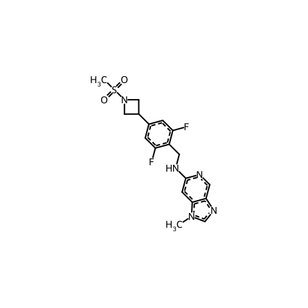 Cn1cnc2cnc(NCc3c(F)cc(C4CN(S(C)(=O)=O)C4)cc3F)cc21